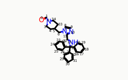 O=CN1CCC(Cn2ccnc2CNC(c2ccccc2)(c2ccccc2)c2ccccc2)CC1